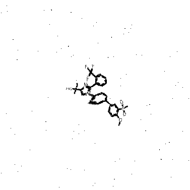 COc1ccc(-c2ccc(-n3cc(C(C)(C)O)nc3-c3ccccc3C(F)(F)F)cc2)cc1S(C)(=O)=O